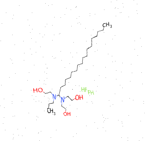 CCCCCCCCCCCCCCCCCC(N(CCC)CCO)N(CCO)CCO.F.F